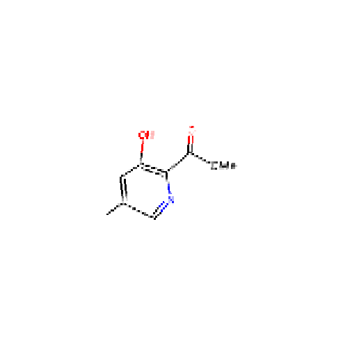 COC(=O)c1ncc(C)cc1O